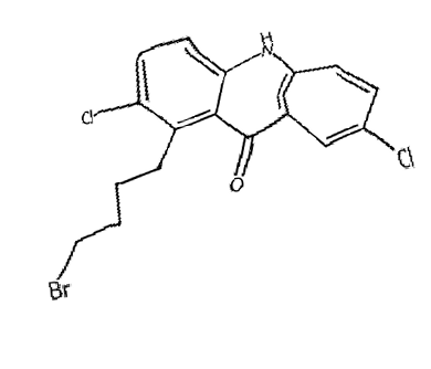 O=c1c2cc(Cl)ccc2[nH]c2ccc(Cl)c(CCCCBr)c12